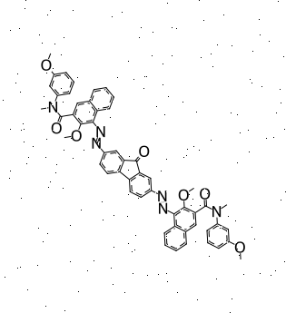 COc1cccc(N(C)C(=O)c2cc3ccccc3c(N=Nc3ccc4c(c3)C(=O)c3cc(N=Nc5c(OC)c(C(=O)N(C)c6cccc(OC)c6)cc6ccccc56)ccc3-4)c2OC)c1